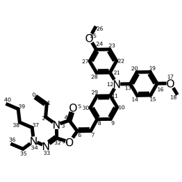 C=CCN1C(=O)/C(=C\c2ccc(N(c3ccc(OC)cc3)c3ccc(OC)cc3)cc2)O/C1=N/N(CC)CCCC